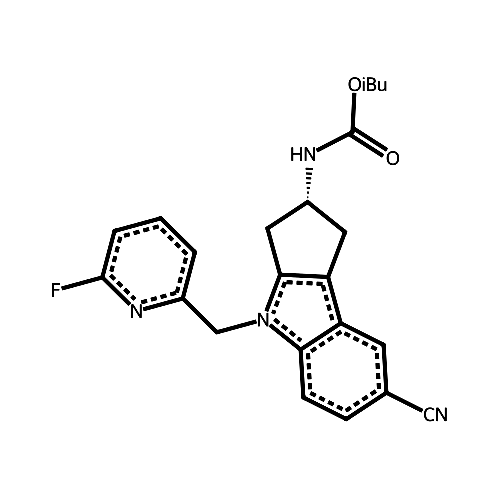 CC(C)COC(=O)N[C@@H]1Cc2c(n(Cc3cccc(F)n3)c3ccc(C#N)cc23)C1